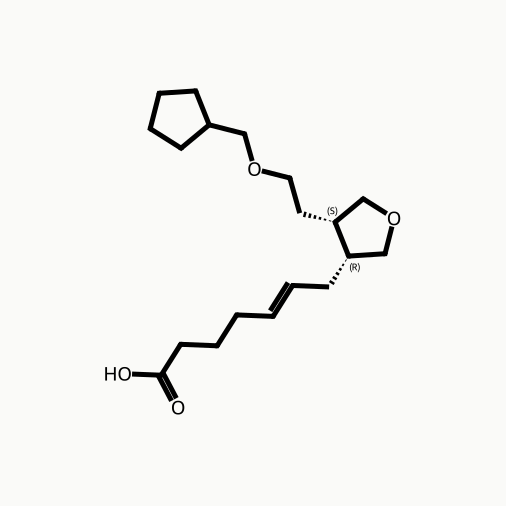 O=C(O)CCCC=CC[C@H]1COC[C@H]1CCOCC1CCCC1